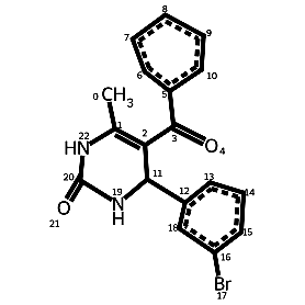 CC1=C(C(=O)c2ccccc2)C(c2cccc(Br)c2)NC(=O)N1